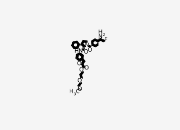 COCCOCCCOC(=O)c1cc2cc(NC(=O)[C@@H]3[C@H](C4CCCCC4)CCN3C(=O)[C@H]3CC[C@H]([C@H](N)CF)CC3)ccc2o1